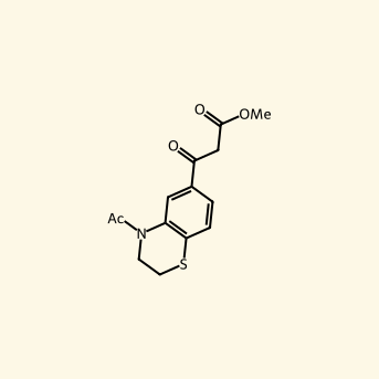 COC(=O)CC(=O)c1ccc2c(c1)N(C(C)=O)CCS2